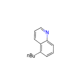 [CH2]CCCc1cccc2ncccc12